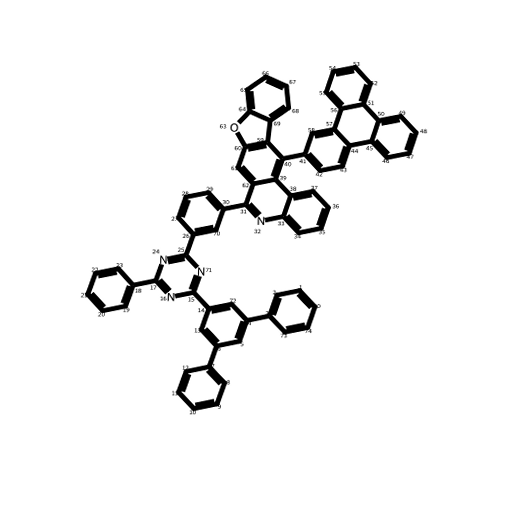 c1ccc(-c2cc(-c3ccccc3)cc(-c3nc(-c4ccccc4)nc(-c4cccc(-c5nc6ccccc6c6c(-c7ccc8c9ccccc9c9ccccc9c8c7)c7c(cc56)oc5ccccc57)c4)n3)c2)cc1